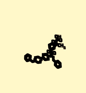 Cc1c(C(=O)O)oc2ccc(S(=O)(=O)N(CCc3ccccc3)c3ccc(N4CCN(Cc5ccccc5)CC4)cc3)cc12